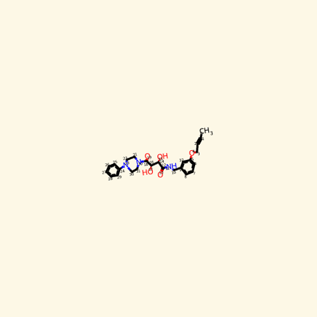 CC#CCOc1cccc(CNC(=O)[C@H](O)[C@@H](O)C(=O)N2CCN(c3ccccc3)CC2)c1